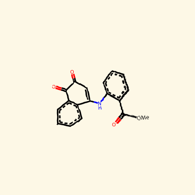 COC(=O)c1ccccc1NC1=CC(=O)C(=O)c2ccccc21